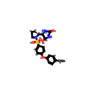 COc1ccc(Oc2ccc(S(=O)(=O)N3CCC[C@@H]3[C@H]3NC(=O)NC3=O)cc2)cc1